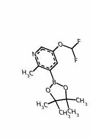 Cc1ncc(OC(F)F)cc1B1OC(C)(C)C(C)(C)O1